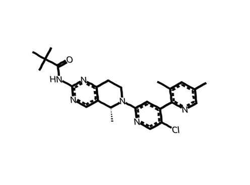 Cc1cnc(-c2cc(N3CCc4nc(NC(=O)C(C)(C)C)ncc4[C@H]3C)ncc2Cl)c(C)c1